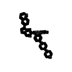 COc1cc(N2CCC(N3CCOCC3)CC2)ccc1Nc1ncc2ccc(-c3ccc4ncccc4c3)n2n1